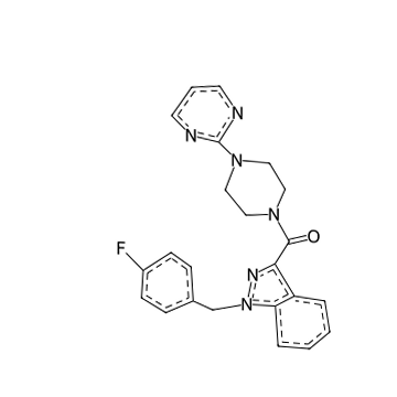 O=C(c1nn(Cc2ccc(F)cc2)c2ccccc12)N1CCN(c2ncccn2)CC1